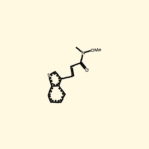 CON(C)C(=O)C=Cc1csc2ccccc12